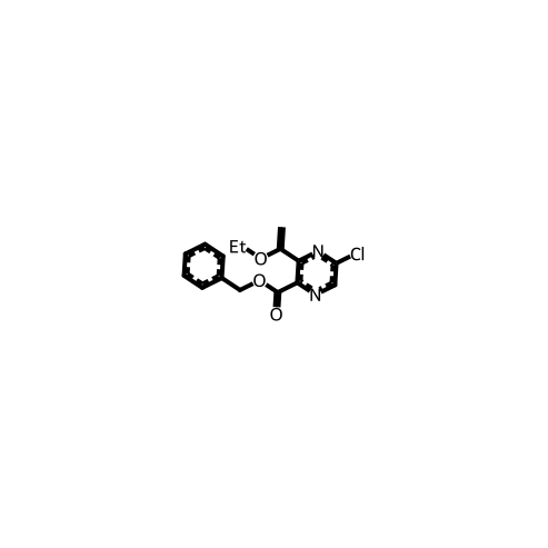 C=C(OCC)c1nc(Cl)cnc1C(=O)OCc1ccccc1